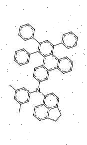 Cc1cc(C)cc(N(c2ccc3c(c2)c2ccccc2c2c(-c4ccccc4)cc(-c4ccccc4)c(-c4ccccc4)c32)c2ccc3c4c(cccc24)CC3)c1